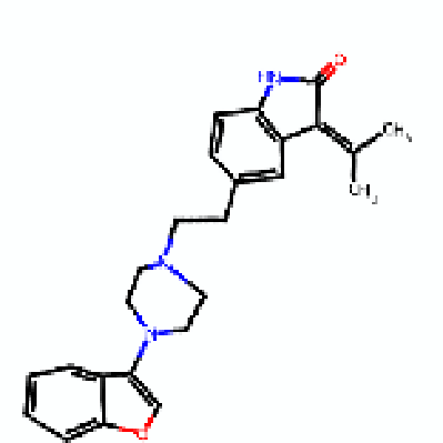 CC(C)=C1C(=O)Nc2ccc(CCN3CCN(c4coc5ccccc45)CC3)cc21